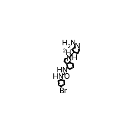 [2H]C([2H])(c1ccnc(N)c1)n1ccc2c(NC(=O)Nc3ccc(Br)cc3)cccc21